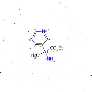 CCOC(=O)C(C)(N)c1cncnc1